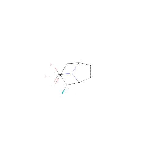 C[C@@]12CC[C@@](C)([C@@H](F)[C@H](O)C1)N2C(=O)O